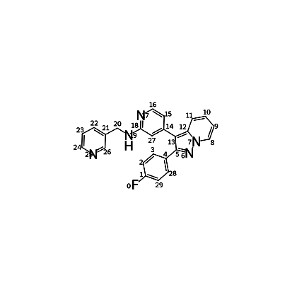 Fc1ccc(-c2nn3ccccc3c2-c2ccnc(NCc3cccnc3)c2)cc1